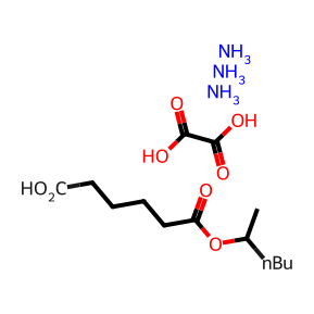 CCCCC(C)OC(=O)CCCCC(=O)O.N.N.N.O=C(O)C(=O)O